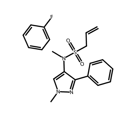 C=CCS(=O)(=O)N(C)c1cn(C)nc1-c1ccccc1.Fc1ccccc1